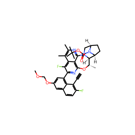 C#Cc1c(F)ccc2cc(OCOC)cc(-c3nc4c5c(nc(C)c(C)c5c3F)N3C[C@H]5CC[C@@H]([C@H]3[C@H](C)O4)N5C(=O)OC(C)(C)C)c12